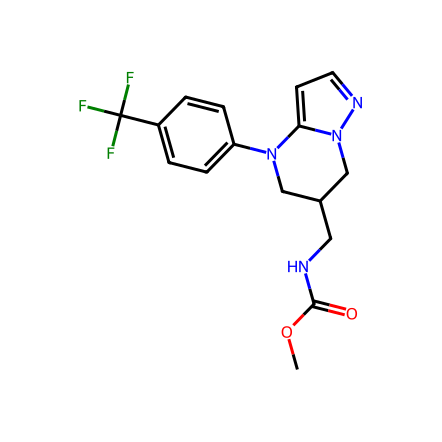 COC(=O)NCC1CN(c2ccc(C(F)(F)F)cc2)c2ccnn2C1